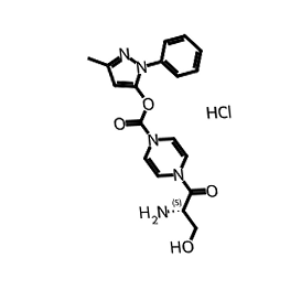 Cc1cc(OC(=O)N2C=CN(C(=O)[C@@H](N)CO)C=C2)n(-c2ccccc2)n1.Cl